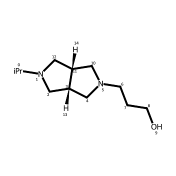 CC(C)N1C[C@H]2CN(CCCO)C[C@H]2C1